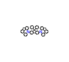 c1ccc(N(c2ccc3c(c2)C(c2ccccc2)(c2ccccc2)c2cc(N(c4ccccc4)c4cccc5c4-c4ccccc4C5)ccc2-3)c2cccc3c2-c2ccccc2C3)cc1